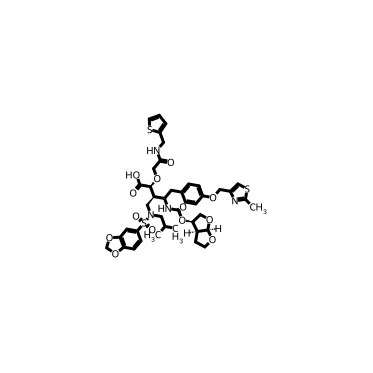 Cc1nc(COc2ccc(CC(NC(=O)O[C@H]3CO[C@H]4OCC[C@H]43)[C@@H](CN(CC(C)C)S(=O)(=O)c3ccc4c(c3)OCO4)[C@H](OCC(=O)NCc3cccs3)C(=O)O)cc2)cs1